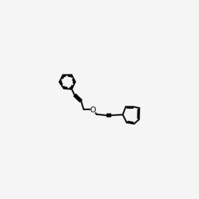 C(#Cc1ccccc1)COCC#CC1C=CC=CC=C1